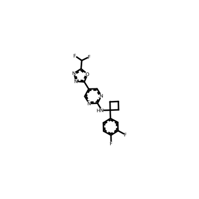 Fc1ccc(C2(Nc3ncc(-c4nnc(C(F)F)o4)cn3)CCC2)cc1F